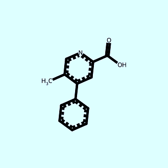 Cc1cnc(C(=O)O)cc1-c1ccccc1